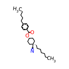 CCCCCCC[C@]1(C#N)CC[C@H](OC(=O)c2ccc(CCCCC)cc2)CC1